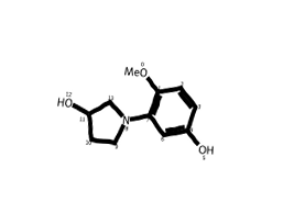 COc1ccc(O)cc1N1CCC(O)C1